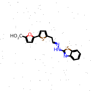 O=C(O)c1ccc(-c2ccc(CC=NNc3nc4ccccc4s3)s2)o1